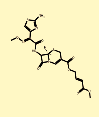 CON=C(C(=O)NC1C(=O)N2C=C(C(=O)OCC=CC(=O)OC)CS[C@H]12)c1csc(N)n1